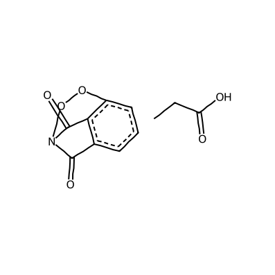 CCC(=O)O.O=C1c2cccc3c2C(=O)N1OO3